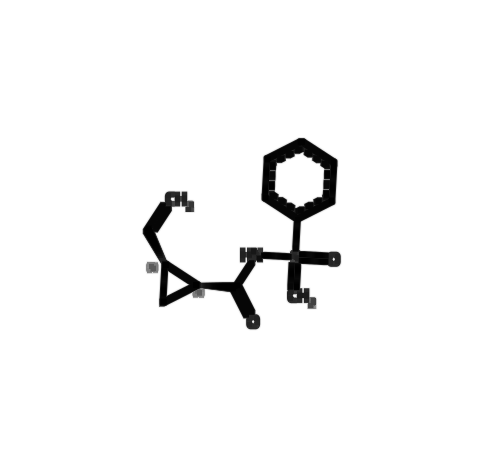 C=C[C@@H]1C[C@@H]1C(=O)NS(=C)(=O)c1ccccc1